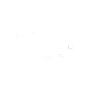 Cc1nc(N)sc1-c1ccc(S(C)(=O)=O)c(F)c1